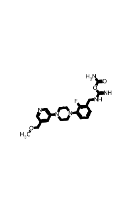 COCc1cncc(N2CCN(c3cccc(CNC(=N)OC(N)=O)c3F)CC2)c1